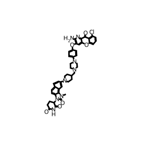 Cn1c(=O)n(C2CCC(=O)NC2=O)c2ccc3ccc(N4CCC(CN5CCN(c6ccc(Oc7cc8oc9cccc(Cl)c9c(=O)c8nc7N)cc6)CC5)CC4)cc3c21